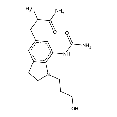 CC(Cc1cc2c(c(NC(N)=O)c1)N(CCCO)CC2)C(N)=O